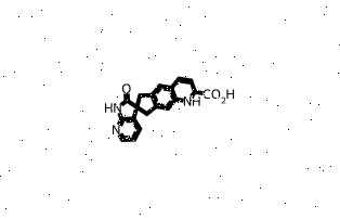 O=C(O)C1C=Cc2cc3c(cc2N1)CC1(C3)C(=O)Nc2ncccc21